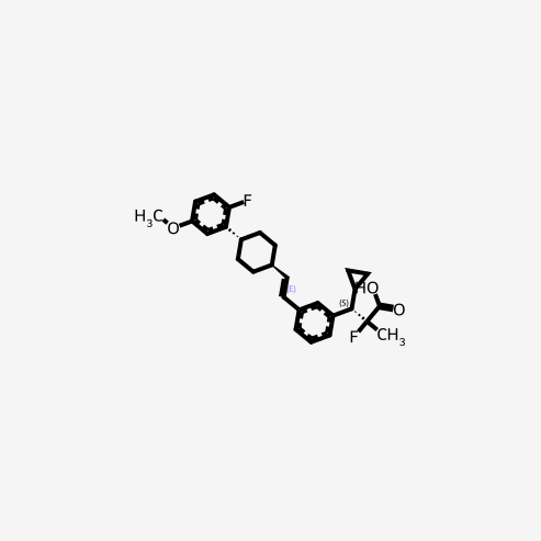 COc1ccc(F)c([C@H]2CC[C@H](/C=C/c3cccc([C@H](C4CC4)C(C)(F)C(=O)O)c3)CC2)c1